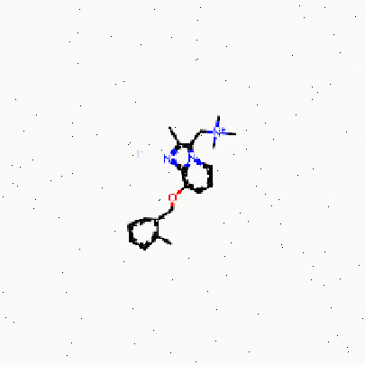 Cc1ccccc1COc1cccn2c(C[N+](C)(C)C)c(C)nc12.[I-]